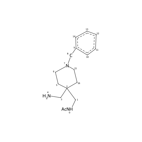 CC(=O)NCC1(CN)CCN(Cc2ccccc2)CC1